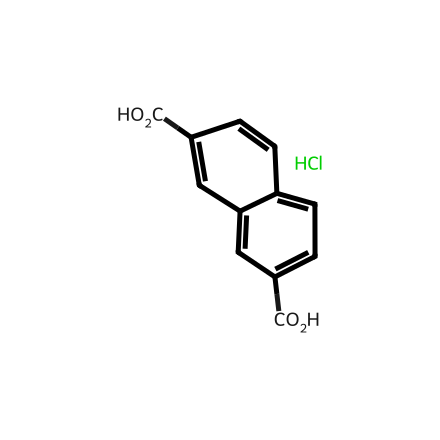 Cl.O=C(O)c1ccc2ccc(C(=O)O)cc2c1